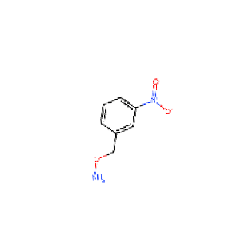 NOCc1cccc([N+](=O)[O-])c1